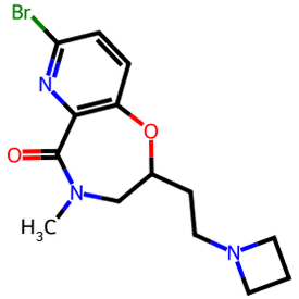 CN1CC(CCN2CCC2)Oc2ccc(Br)nc2C1=O